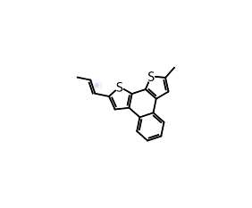 C/C=C/c1cc2c3ccccc3c3cc(C)sc3c2s1